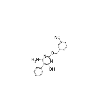 N#Cc1cccc(COc2nc(N)c(-c3ccccc3)c(O)n2)c1